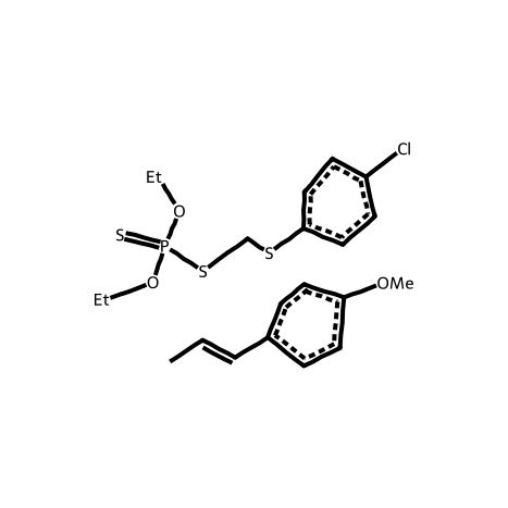 C/C=C/c1ccc(OC)cc1.CCOP(=S)(OCC)SCSc1ccc(Cl)cc1